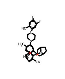 Cc1cc(C)c(N2CCN(c3cc(F)c(F)cc3C#N)CC2)cc1CN1C2CCC1CN(c1ccccc1C#N)C2